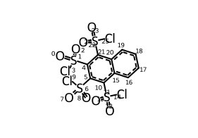 O=S(=O)(Cl)c1c(S(=O)(=O)Cl)c(S(=O)(=O)Cl)c2ccccc2c1S(=O)(=O)Cl